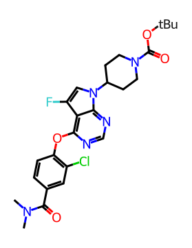 CN(C)C(=O)c1ccc(Oc2ncnc3c2c(F)cn3C2CCN(C(=O)OC(C)(C)C)CC2)c(Cl)c1